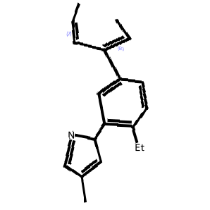 C/C=C\C(=C/C)c1ccc(CC)c(C2C=C(C)C=N2)c1